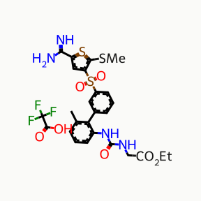 CCOC(=O)CNC(=O)Nc1cccc(C)c1-c1cccc(S(=O)(=O)c2cc(C(=N)N)sc2SC)c1.O=C(O)C(F)(F)F